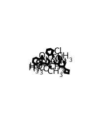 CC[C@@]1(C(=O)O)[C@@H](C(C)(C)C)[C@H](OCc2cc(C3CCC3)cnc2OC)[C@H](c2cccc(Cl)c2C)N1C(=O)C1CCCCO1